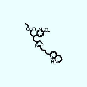 CCOC(=O)CC(Cc1csc(CCCc2ccc3c(n2)NCCC3)n1)c1ccc(OC)nc1